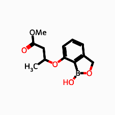 COC(=O)CC(C)Oc1cccc2c1B(O)OC2